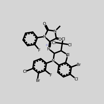 CN1C(=O)/C(=N\C(C(Cl)C(Cl)(Cl)Cl)N(c2ccc(Cl)c(Br)c2F)c2ccc(Cl)c(Br)c2F)N(c2ccccc2F)C1=O